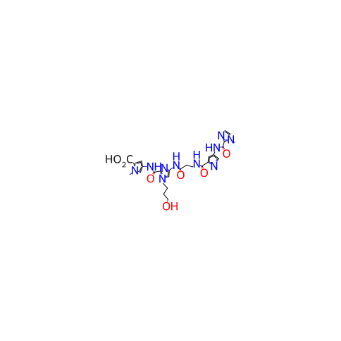 Cn1cc(NC(=O)c2nc(NC(=O)CCNC(=O)c3cc(NC(=O)c4nccn4C)cn3C)cn2CCCCO)cc1C(=O)O